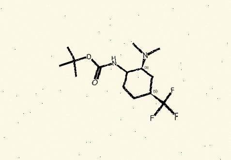 CN(C)[C@H]1C[C@@H](C(F)(F)F)CCC1NC(=O)OC(C)(C)C